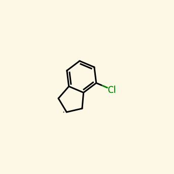 Clc1cccc2c1C[CH]C2